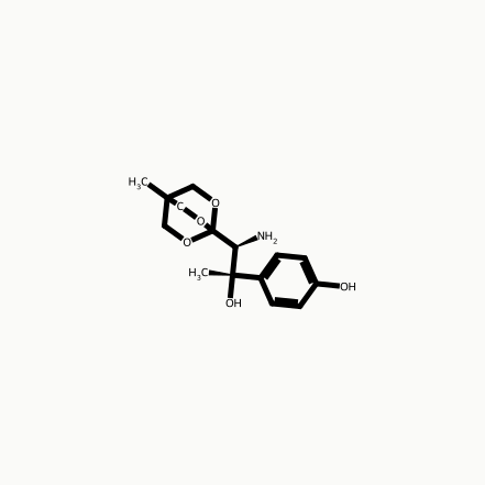 CC12COC([C@@H](N)[C@@](C)(O)c3ccc(O)cc3)(OC1)OC2